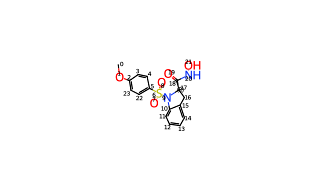 COc1ccc(S(=O)(=O)N2c3ccccc3C[C@@H]2C(=O)NO)cc1